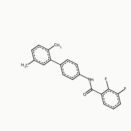 Cc1ccc(C)c(-c2ccc(NC(=O)c3cccc(F)c3F)cc2)c1